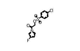 O=C(COS(=O)(=O)c1ccc(Cl)cc1)n1ccc(F)c1